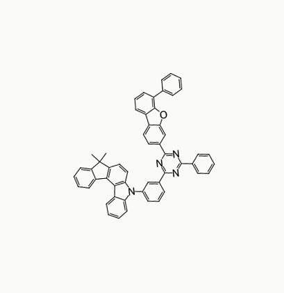 CC1(C)c2ccccc2-c2c1ccc1c2c2ccccc2n1-c1cccc(-c2nc(-c3ccccc3)nc(-c3ccc4c(c3)oc3c(-c5ccccc5)cccc34)n2)c1